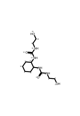 O=C(NCCO)NC1CCCCC1NC(=O)NCCO